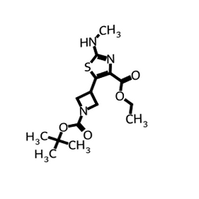 CCOC(=O)c1nc(NC)sc1C1CN(C(=O)OC(C)(C)C)C1